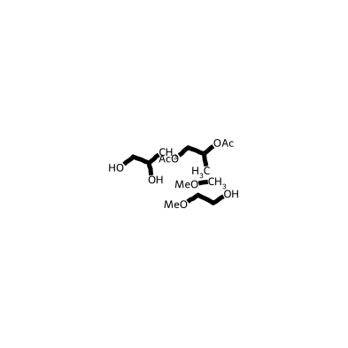 CC(=O)OCC(C)OC(C)=O.CC(O)CO.COC.COCCO